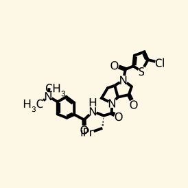 CC(C)C[C@H](NC(=O)c1ccc(N(C)C)cc1)C(=O)N1CCC2C1C(=O)CN2C(=O)c1ccc(Cl)s1